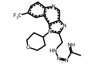 CC(=N)/N=N\NCc1nc2cnc3ccc(C(F)(F)F)cc3c2n1C1CCOCC1